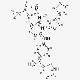 C=C(c1cc2cnc(Nc3ccc(N(C)C4CCCNC4)cc3)nc2n(Cc2ccnn2C2=CCCC2)c1=O)C1CC1